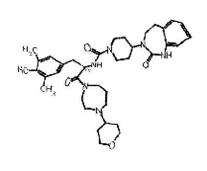 Cc1cc(C[C@@H](NC(=O)N2CCC(N3CCc4ccccc4NC3=O)CC2)C(=O)N2CCCN(C3CCOCC3)CC2)cc(C)c1O